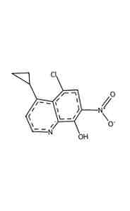 O=[N+]([O-])c1cc(Cl)c2c(C3CC3)ccnc2c1O